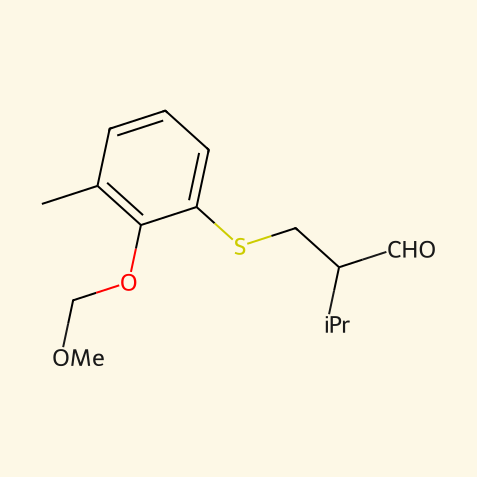 COCOc1c(C)cccc1SCC(C=O)C(C)C